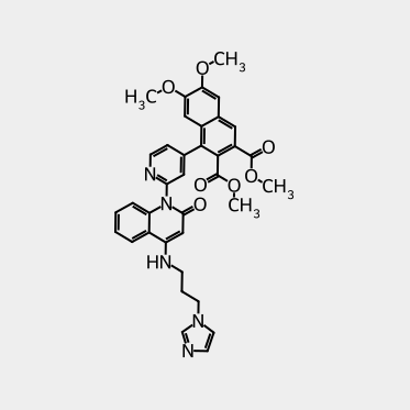 COC(=O)c1cc2cc(OC)c(OC)cc2c(-c2ccnc(-n3c(=O)cc(NCCCn4ccnc4)c4ccccc43)c2)c1C(=O)OC